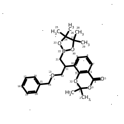 CC1(C)OC(=O)c2cccc(C(COCc3ccccc3)CB3OC(C)(C)C(C)(C)O3)c2O1